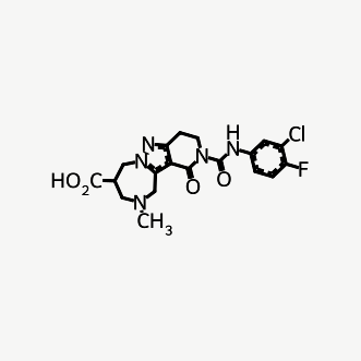 CN1Cc2c3c(nn2CC(C(=O)O)C1)CCN(C(=O)Nc1ccc(F)c(Cl)c1)C3=O